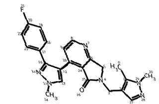 Cc1c(CN2Cc3nccc(-c4cn(C)nc4-c4ccc(F)cc4)c3C2=O)cnn1C